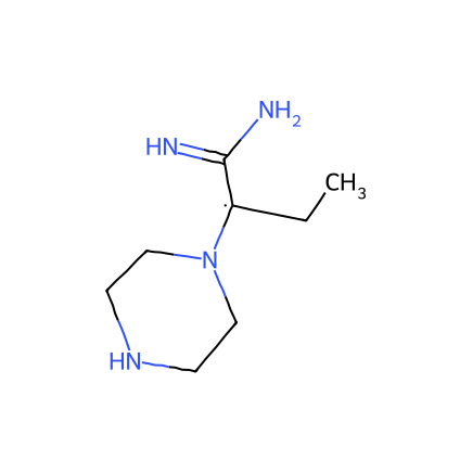 CC[C](C(=N)N)N1CCNCC1